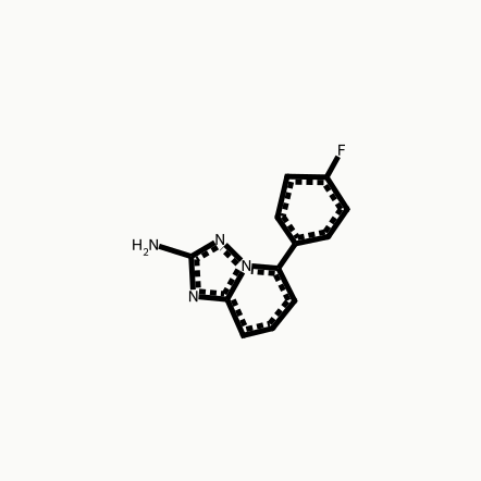 Nc1nc2cccc(-c3ccc(F)cc3)n2n1